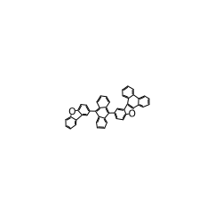 c1ccc2c(c1)oc1ccc(-c3c4ccccc4c(-c4ccc5oc6c7ccccc7c7ccccc7c6c5c4)c4ccccc34)cc12